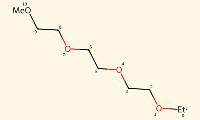 C[CH]OCCOCCOCCOC